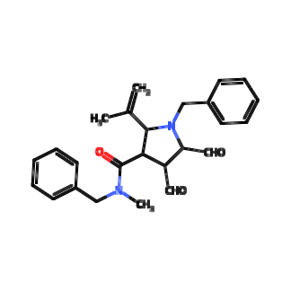 C=C(C)C1C(C(=O)N(C)Cc2ccccc2)C(C=O)C(C=O)N1Cc1ccccc1